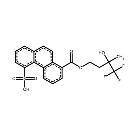 CC(O)(CCOC(=O)c1cccc2c1ccc1cccc(S(=O)(=O)O)c12)C(F)(F)F